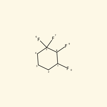 FC1CCCC(F)(F)C1F